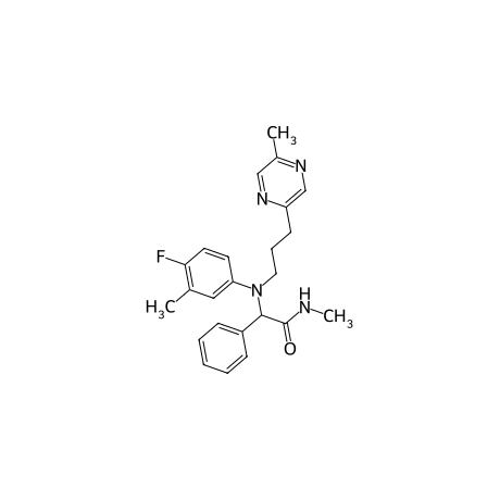 CNC(=O)C(c1ccccc1)N(CCCc1cnc(C)cn1)c1ccc(F)c(C)c1